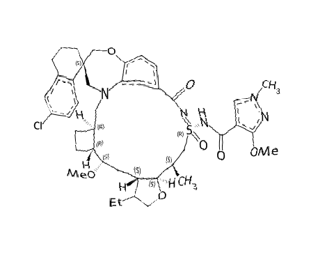 CCC1CO[C@@H]2[C@H](C)C[S@@](=O)(NC(=O)c3cn(C)nc3OC)=NC(=O)c3ccc4c(c3)N(C[C@@H]3CC[C@H]3[C@@H](OC)C[C@@H]12)C[C@@]1(CCCc2cc(Cl)ccc21)CO4